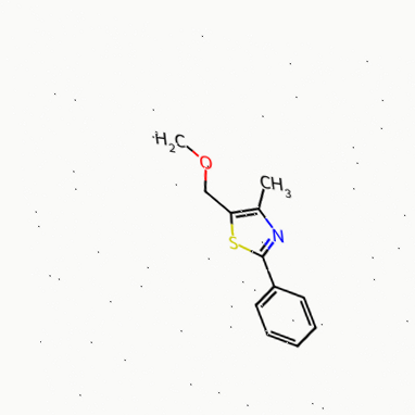 [CH2]OCc1sc(-c2ccccc2)nc1C